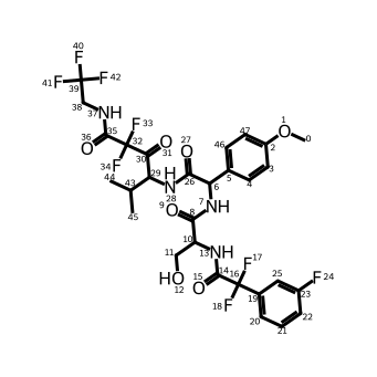 COc1ccc(C(NC(=O)C(CO)NC(=O)C(F)(F)c2cccc(F)c2)C(=O)NC(C(=O)C(F)(F)C(=O)NCC(F)(F)F)C(C)C)cc1